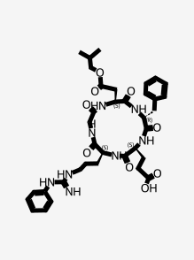 CC(C)COC(=O)C[C@@H]1NC(=O)CNC(=O)[C@H](CCCNC(=N)Nc2ccccc2)NC(=O)[C@H](CCC(=O)O)NC(=O)[C@@H](Cc2ccccc2)NC1=O